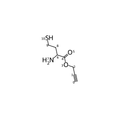 C#CCOC(=O)C(N)CCS